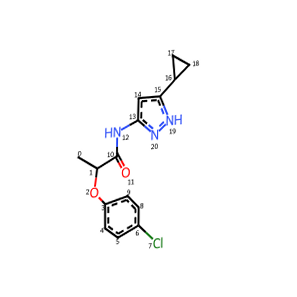 CC(Oc1ccc(Cl)cc1)C(=O)Nc1cc(C2CC2)[nH]n1